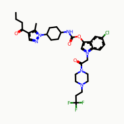 CCCC(=O)c1cnn(C2CCC(NC(=O)Oc3cn(CC(=O)N4CCN(CCC(F)(F)F)CC4)c4ccc(Cl)cc34)CC2)c1C